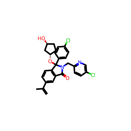 C=C(C)c1ccc2c(c1)C(=O)N(Cc1ccc(Cl)cn1)C2(O[C@H]1CC[C@H](O)C1)c1ccc(Cl)cc1